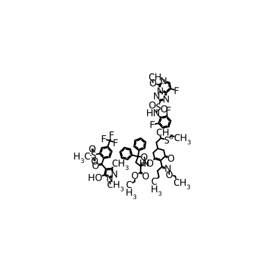 CCCC(=NOCC)C1=C(O)CC(CC(C)SCC)CC1=O.CCOC(=O)C1=NOC(c2ccccc2)(c2ccccc2)C1.COc1ncc(F)c2nc(S(=O)(=O)Nc3c(F)cccc3F)nn12.Cc1nn(C)c(O)c1C(=O)c1ccc(C(F)(F)F)cc1S(C)(=O)=O